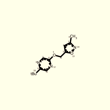 Cc1cc(COc2cnc(C(C)(C)C)cn2)on1